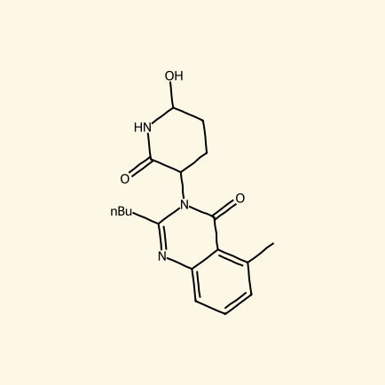 CCCCc1nc2cccc(C)c2c(=O)n1C1CCC(O)NC1=O